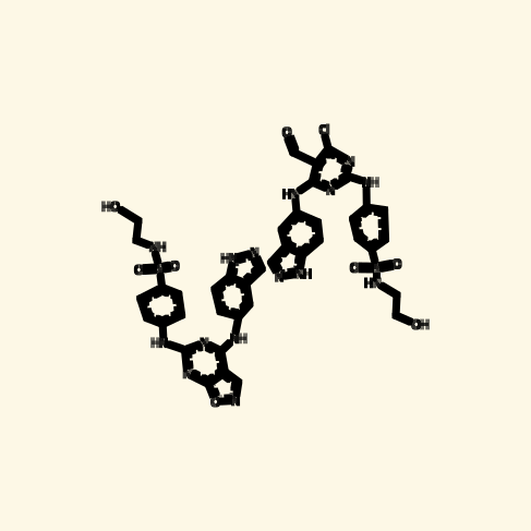 O=Cc1c(Cl)nc(Nc2ccc(S(=O)(=O)NCCO)cc2)nc1Nc1ccc2[nH]ncc2c1.O=S(=O)(NCCO)c1ccc(Nc2nc(Nc3ccc4[nH]ncc4c3)c3cnoc3n2)cc1